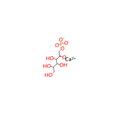 O=C(COP(=O)([O-])[O-])[C@H](O)[C@@H](O)[C@H](O)CO.[Ca+2]